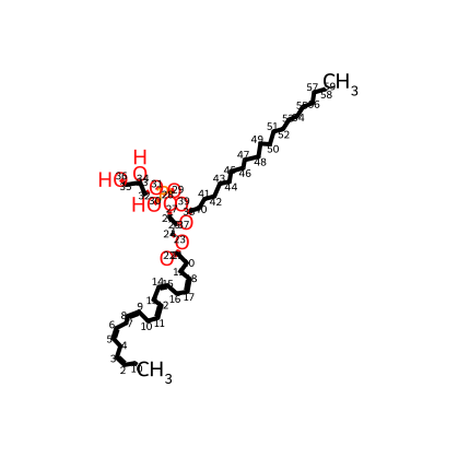 CC/C=C\C/C=C\C/C=C\C/C=C\C/C=C\C/C=C\CCC(=O)OC[C@H](COP(=O)(O)OC[C@@H](O)CO)OC(=O)CCCCCCCCCCCCCCCCCCCC